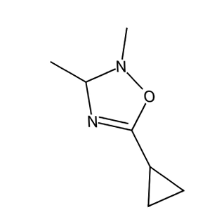 CC1N=C(C2CC2)ON1C